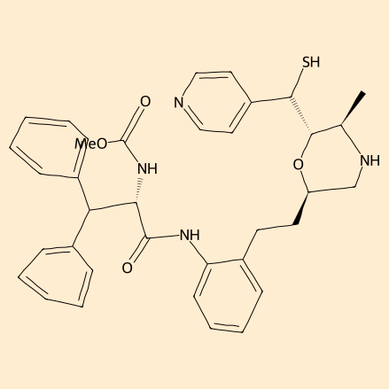 COC(=O)N[C@H](C(=O)Nc1ccccc1CC[C@@H]1CN[C@H](C)[C@@H](C(S)c2ccncc2)O1)C(c1ccccc1)c1ccccc1